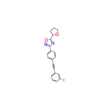 Fc1cccc(C#Cc2ccc(-c3noc(C4CCCO4)n3)cc2)c1